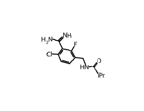 CC(C)C(=O)NCc1ccc(Cl)c(C(=N)N)c1F